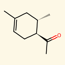 CC(=O)[C@H]1CC=C(C)C[C@@H]1C